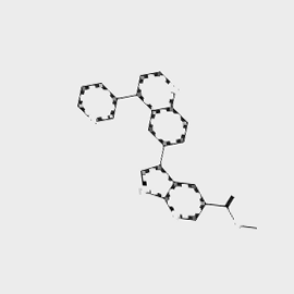 CNC(=O)c1cnc2[nH]cc(-c3ccc4nccc(-c5cccnc5)c4c3)c2c1